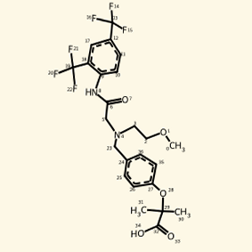 COCCN(CC(=O)Nc1ccc(C(F)(F)F)cc1C(F)(F)F)Cc1ccc(OC(C)(C)C(=O)O)cc1